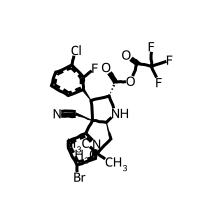 CC(C)(C)C[C@@H]1N[C@@H](C(=O)OC(=O)C(F)(F)F)[C@H](c2cccc(Cl)c2F)[C@@]1(C#N)c1ccc(Br)cn1